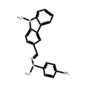 CN(N=Cc1ccc2c(c1)c1ccccc1n2C)c1ccc(N)cc1